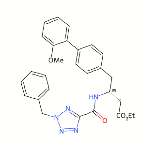 CCOC(=O)C[C@@H](Cc1ccc(-c2ccccc2OC)cc1)NC(=O)c1nnn(Cc2ccccc2)n1